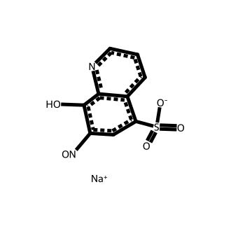 O=Nc1cc(S(=O)(=O)[O-])c2cccnc2c1O.[Na+]